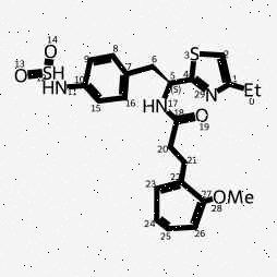 CCc1csc([C@H](Cc2ccc(N[SH](=O)=O)cc2)NC(=O)CCc2ccccc2OC)n1